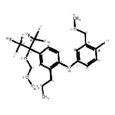 CCCc1cc(C(OCOC)(C(F)(F)F)C(F)(F)F)ccc1Oc1ccc(I)c(COC)c1